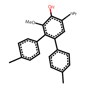 CCCc1[c]c(-c2ccc(C)cc2)c(-c2ccc(C)cc2)c(OC)c1O